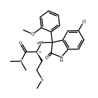 COc1ccccc1C1(N[C@@H](CCSC)C(=O)N(C)C)C(=O)Nc2ccc(Cl)cc21